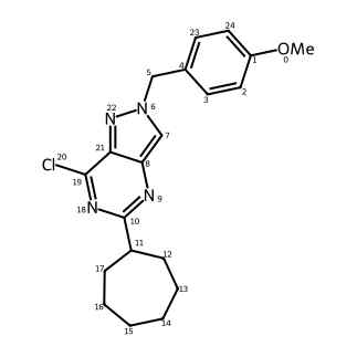 COc1ccc(Cn2cc3nc(C4CCCCCC4)nc(Cl)c3n2)cc1